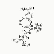 N=C(N)c1ccc2c(c1)CCCCc1cc(C(=O)NC(CC(=O)O)C(=O)O)ccc1C(=O)O2.O=C(O)C(F)(F)F